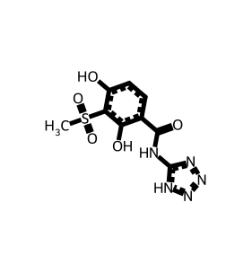 CS(=O)(=O)c1c(O)ccc(C(=O)Nc2nnn[nH]2)c1O